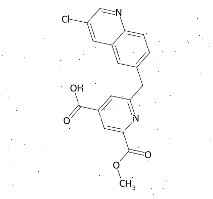 COC(=O)c1cc(C(=O)O)cc(Cc2ccc3ncc(Cl)cc3c2)n1